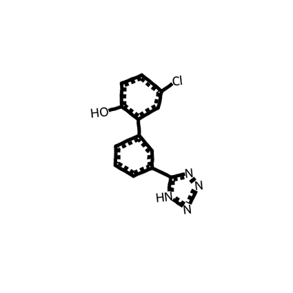 Oc1ccc(Cl)cc1-c1cccc(-c2nnn[nH]2)c1